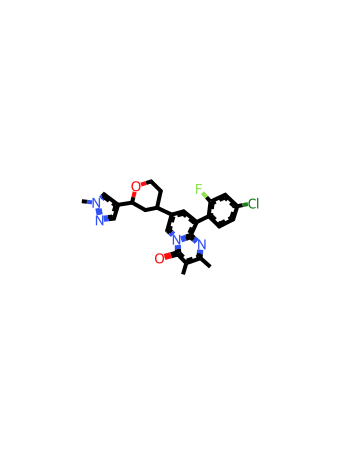 Cc1nc2c(-c3ccc(Cl)cc3F)cc(C3CCOC(c4cnn(C)c4)C3)cn2c(=O)c1C